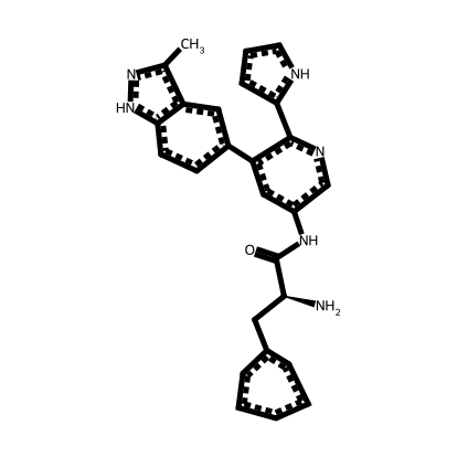 Cc1n[nH]c2ccc(-c3cc(NC(=O)[C@@H](N)Cc4ccccc4)cnc3-c3ccc[nH]3)cc12